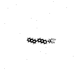 OC[C@H]1O[C@H](C2C=c3cc4ccc(-c5ccc6cc7ccccc7cc6c5)cc4cc3=CC2)CC1O